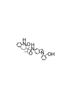 CC(C)C(C)(C(=O)Nc1ccc2c(ccn2-c2ccccc2CO)c1)[C@H]1CCc2ccccc2NC1=O